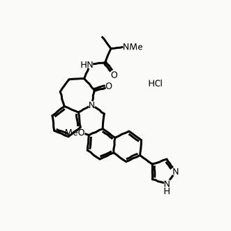 CNC(C)C(=O)NC1CCc2ccccc2N(Cc2c(OC)ccc3cc(-c4cn[nH]c4)ccc23)C1=O.Cl